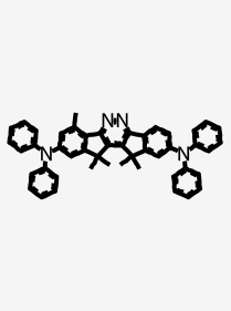 Cc1cc(N(c2ccccc2)c2ccccc2)cc2c1-c1nnc3c(c1C2(C)C)C(C)(C)c1cc(N(c2ccccc2)c2ccccc2)ccc1-3